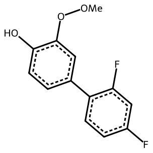 COOc1cc(-c2ccc(F)cc2F)ccc1O